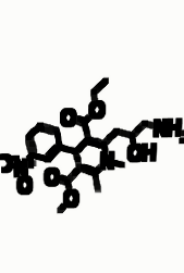 CCOC(=O)C1=C(CC(O)CN)N(C)C(C)=C(C(=O)OC)C1c1cccc([N+](=O)[O-])c1